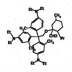 CCN(CC)c1ccc(C(COC2(C=O)CC(C)CCC2C(C)C)(c2ccc(N(CC)CC)cc2C)c2ccc(N(CC)CC)cc2C)c(C)c1